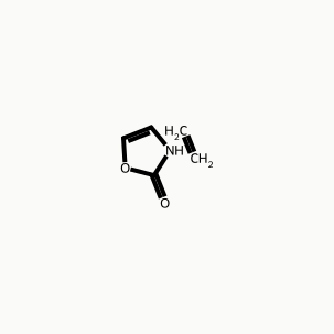 C=C.O=c1[nH]cco1